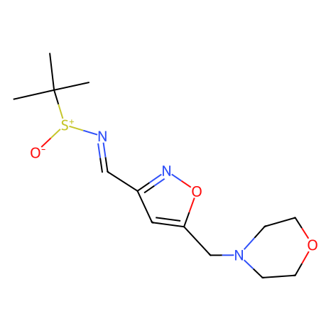 CC(C)(C)[S+]([O-])/N=C/c1cc(CN2CCOCC2)on1